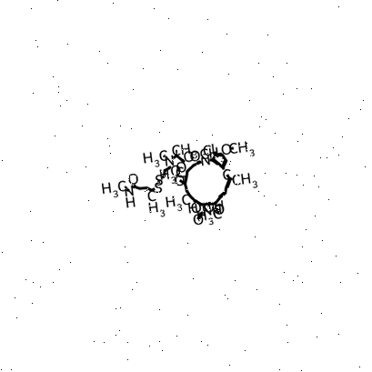 CNC(=O)CCC(C)SSCCC(=O)N(C)[C@@H](C)C(=O)O[C@H]1CC(=O)N(C)c2cc(cc(OC)c2Cl)C/C(C)=C/C=C/[C@@H](OC)[C@@]2(O)C[C@H](OC(=O)N2)[C@@H](C)CC2O[C@]21C